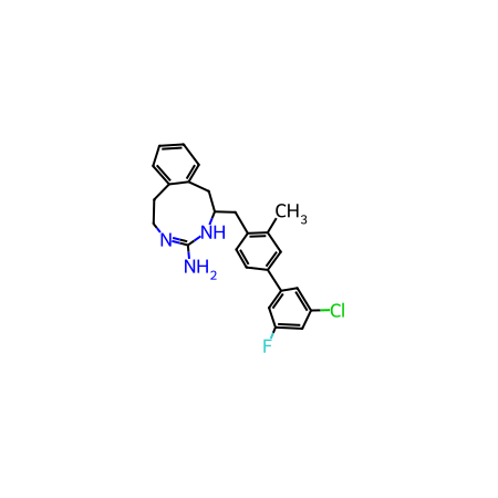 Cc1cc(-c2cc(F)cc(Cl)c2)ccc1CC1Cc2ccccc2CC/N=C(/N)N1